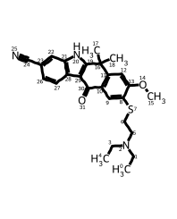 CCN(CC)CCSc1cc2c(cc1OC)C(C)(C)c1[nH]c3cc(C#N)ccc3c1C2=O